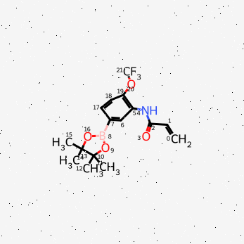 C=CC(=O)Nc1cc(B2OC(C)(C)C(C)(C)O2)ccc1OC(F)(F)F